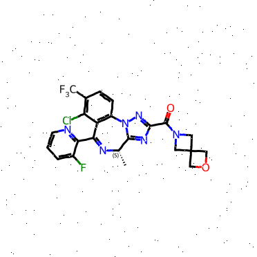 C[C@@H]1N=C(c2ncccc2F)c2c(ccc(C(F)(F)F)c2Cl)-n2nc(C(=O)N3CC4(COC4)C3)nc21